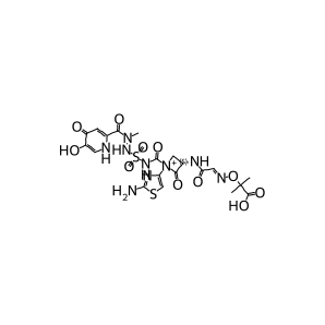 CN(NS(=O)(=O)NC(=O)[N+]1(c2csc(N)n2)C[C@H](NC(=O)C=NOC(C)(C)C(=O)O)C1=O)C(=O)c1cc(=O)c(O)c[nH]1